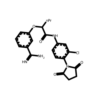 CCCC(Oc1cccc(C(=N)N)c1)C(=O)Nc1ccc(N2C(=O)CCC2=O)c(Cl)c1